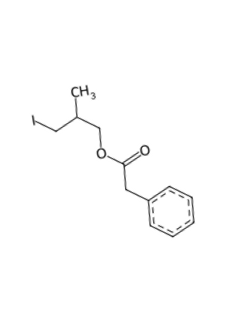 CC(CI)COC(=O)Cc1ccccc1